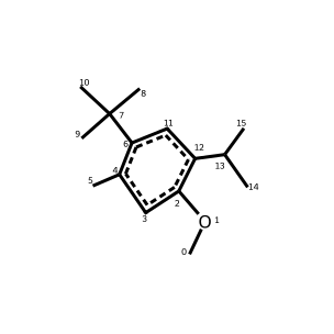 COc1cc(C)c(C(C)(C)C)cc1C(C)C